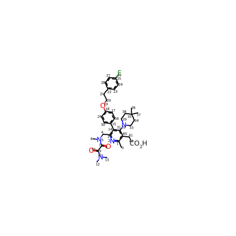 Cc1nc(CN(C)C(=O)C(=O)N(C)C)c(-c2ccc(OCCc3ccc(F)cc3)cc2)c(N2CCC(C)(C)CC2)c1CC(=O)O